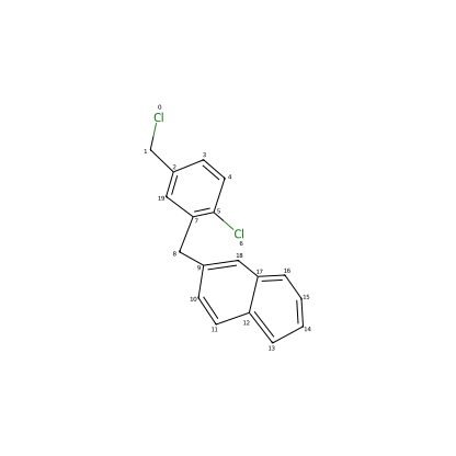 ClCc1ccc(Cl)c(Cc2ccc3ccccc3c2)c1